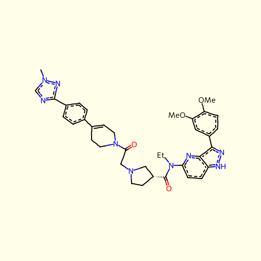 CCN(C(=O)[C@@H]1CCN(CC(=O)N2CC=C(c3ccc(-c4ncn(C)n4)cc3)CC2)C1)c1ccc2[nH]nc(-c3ccc(OC)c(OC)c3)c2n1